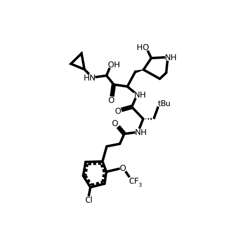 CC(C)(C)C[C@H](NC(=O)CCc1ccc(Cl)cc1OC(F)(F)F)C(=O)NC(C[C@@H]1CCNC1O)C(=O)C(O)NC1CC1